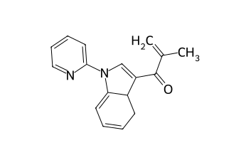 C=C(C)C(=O)C1=CN(c2ccccn2)C2=CC=CCC12